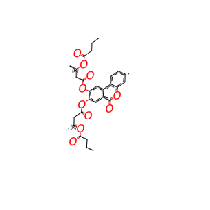 CCCC(=O)O[C@H](C)CC(=O)Oc1cc2c(=O)oc3c[c]ccc3c2cc1OC(=O)C[C@@H](C)OC(=O)CCC